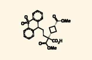 COC(=O)C(CCC1c2ccccc2S(=O)(=O)c2ccccc21)(C(=O)O)[C@H]1C[C@@H](C(=O)OC)C1